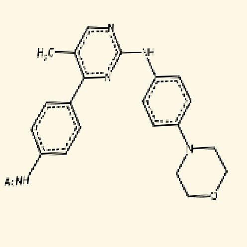 CC(=O)Nc1ccc(-c2nc(Nc3ccc(N4CCOCC4)cc3)ncc2C)cc1